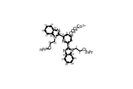 CCCOCCn1c(-c2cccc(-c3nc4ccccc4n3CCOCCC)n2)nc2ccccc21.[Cl-].[Cl-].[Cl-].[Co+3]